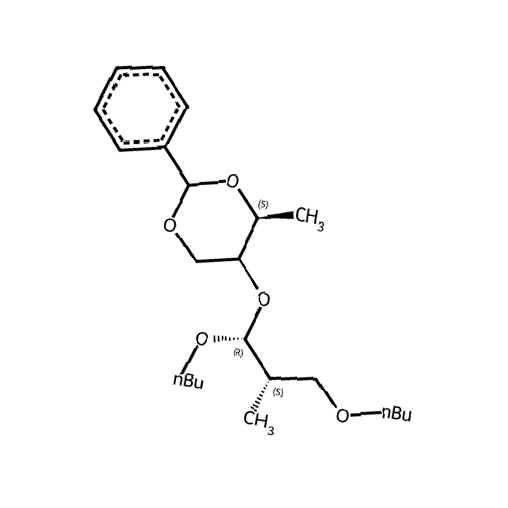 CCCCOC[C@H](C)[C@H](OCCCC)OC1COC(c2ccccc2)O[C@H]1C